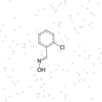 ON=Cc1ccccc1Cl